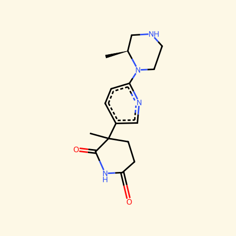 C[C@H]1CNCCN1c1ccc(C2(C)CCC(=O)NC2=O)cn1